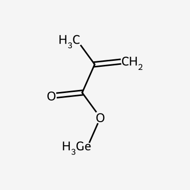 C=C(C)C(=O)[O][GeH3]